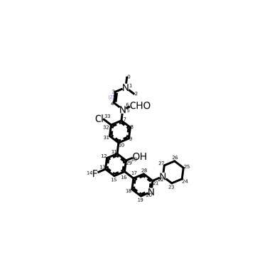 CN(C)/C=C\N(C=O)c1ccc(-c2cc(F)cc(-c3ccnc(N4CCCCC4)c3)c2O)cc1Cl